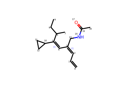 C=C/C=C(\C=C(/C(C)CC)C1CC1)CNC(C)=O